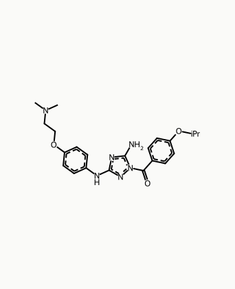 CC(C)Oc1ccc(C(=O)n2nc(Nc3ccc(OCCN(C)C)cc3)nc2N)cc1